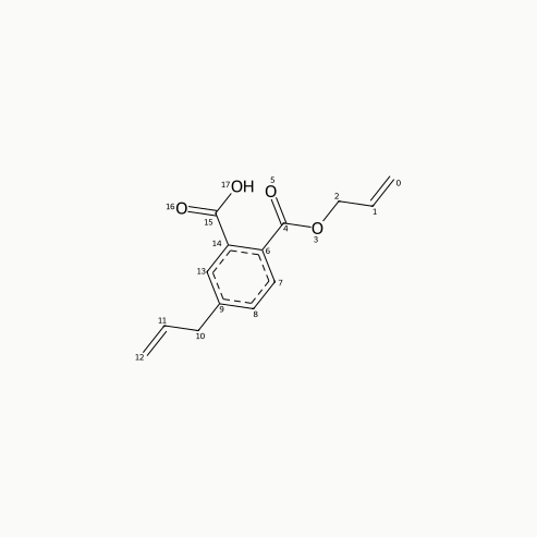 C=CCOC(=O)c1ccc(CC=C)cc1C(=O)O